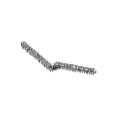 O=S(=O)(OS(=O)(=O)C(F)(F)C(F)(F)C(F)(F)C(F)(F)C(F)(F)C(F)(F)C(F)(F)C(F)(F)C(F)(F)C(F)(F)C(F)(F)C(F)(F)C(F)(F)C(F)(F)C(F)(F)C(F)(F)C(F)(F)C(F)(F)C(F)(F)C(F)(F)C(F)(F)C(F)(F)C(F)(F)F)C(F)(F)C(F)(F)C(F)(F)C(F)(F)C(F)(F)C(F)(F)C(F)(F)C(F)(F)C(F)(F)C(F)(F)C(F)(F)C(F)(F)C(F)(F)C(F)(F)C(F)(F)C(F)(F)C(F)(F)C(F)(F)C(F)(F)C(F)(F)C(F)(F)C(F)(F)C(F)(F)F